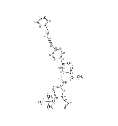 COC(=O)[C@H](CNC(=O)CN(C(=O)OC(C)(C)C)C1CC1)NC(=O)c1ccc(C#C/C=C/c2ccccc2)cc1